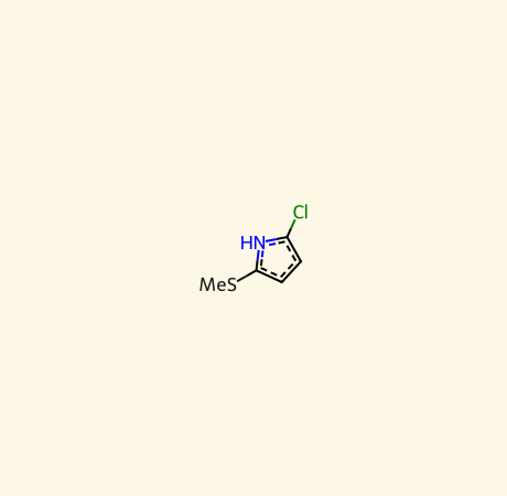 CSc1ccc(Cl)[nH]1